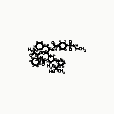 CCNS(=O)(=O)c1ccc(C(=O)NC(CC2CCCCC2)C(=O)N2C[C@@H](n3nncc3C(C)(C)O)C[C@H]2C(=O)NC2(C(=O)C(N)=O)CCSCC2)cc1